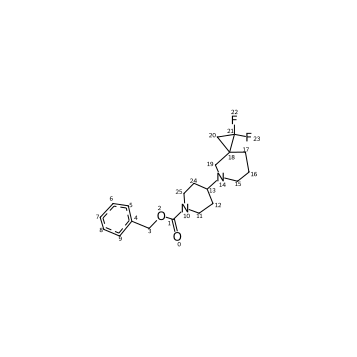 O=C(OCc1ccccc1)N1CCC(N2CCCC3(C2)CC3(F)F)CC1